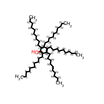 CCCCCCCCCCc1c(O)c(CCCCCCCCCC)c(CCCCCCCCCC)c(CCCCCCCCCC)c1CCCCCCCCCC